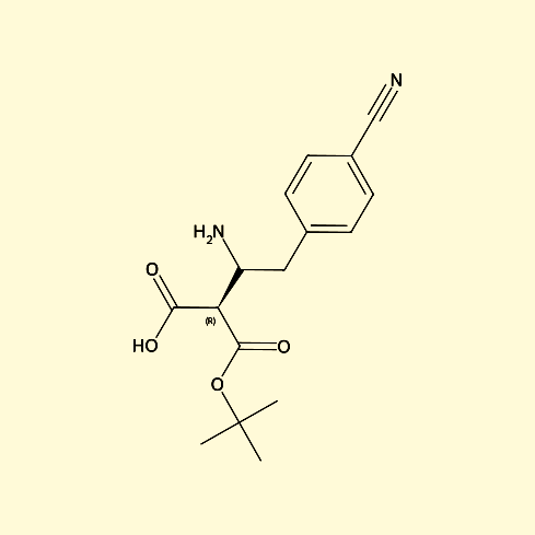 CC(C)(C)OC(=O)[C@@H](C(=O)O)C(N)Cc1ccc(C#N)cc1